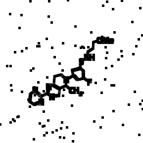 COCCCNSc1cc(F)cc(N2CCc3nc(-c4ncccn4)ncc3C2C)c1